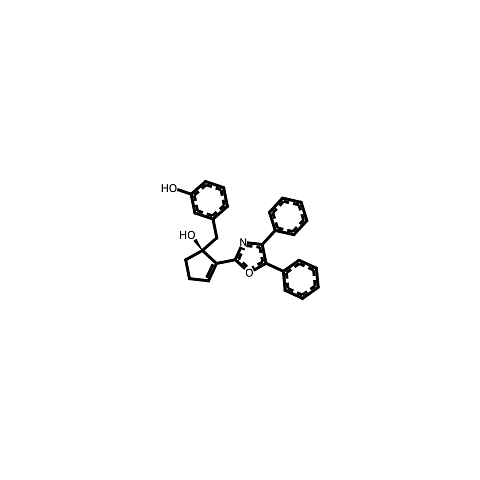 Oc1cccc(C[C@@]2(O)CCC=C2c2nc(-c3ccccc3)c(-c3ccccc3)o2)c1